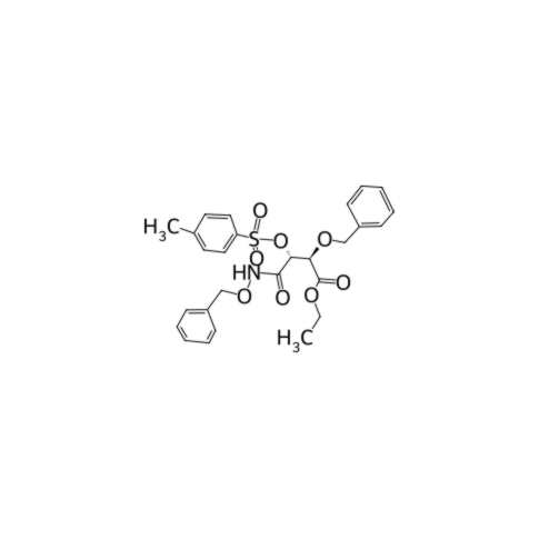 CCOC(=O)[C@H](OCc1ccccc1)[C@@H](OS(=O)(=O)c1ccc(C)cc1)C(=O)NOCc1ccccc1